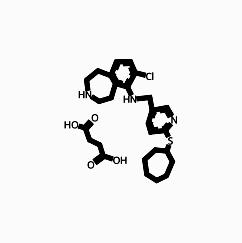 Clc1ccc2c(c1NCc1ccc(SC3CCCCCC3)nc1)CCNCC2.O=C(O)CCC(=O)O